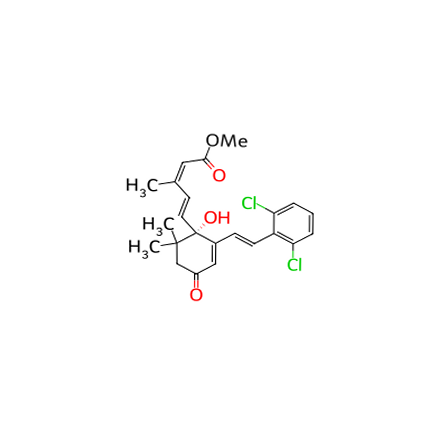 COC(=O)/C=C(C)\C=C\[C@@]1(O)C(/C=C/c2c(Cl)cccc2Cl)=CC(=O)CC1(C)C